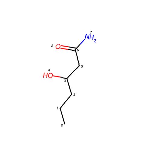 CCCC(O)CC(N)=O